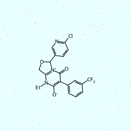 CCn1c([O-])c(-c2cccc(C(F)(F)F)c2)c(=O)[n+]2c1COC2c1ccc(Cl)nc1